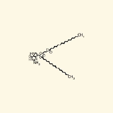 CCCCCCCCC=CCCCCCCCC(=O)OCCCOC(OC(=O)CCCCCCCC=CCCCCCCCC)N1CNc2c1nc(N)[nH]c2=O